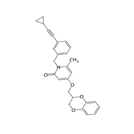 Cc1cc(OCC2COc3ccccc3O2)cc(=O)n1Cc1cccc(C#CC2CC2)c1